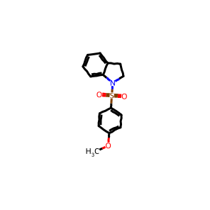 COc1ccc(S(=O)(=O)N2CCc3ccccc32)cc1